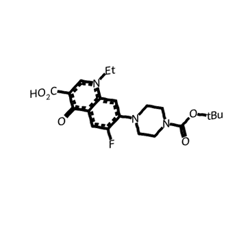 CCn1cc(C(=O)O)c(=O)c2cc(F)c(N3CCN(C(=O)OC(C)(C)C)CC3)cc21